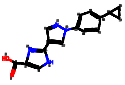 O=C(O)c1c[nH]c(-c2cnn(-c3ccc(C4CC4)cc3)c2)n1